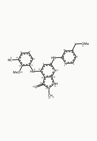 COCc1ccnc(Nc2cc(Nc3cccc(C#N)c3OC)c3c(=O)n(C)[nH]c3n2)c1